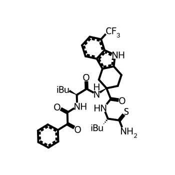 CCC(C)[C@H](NC(=O)C(=O)c1ccccc1)C(=O)N[C@]1(C(=O)NC(C(N)=S)[C@@H](C)CC)CCc2[nH]c3c(C(F)(F)F)cccc3c2C1